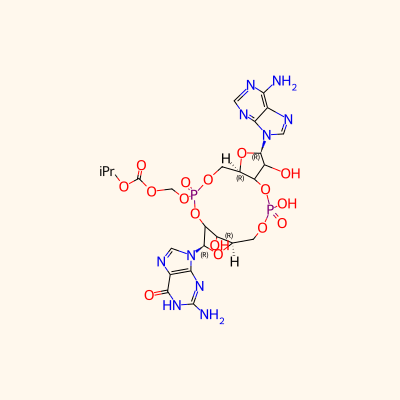 CC(C)OC(=O)OCOP1(=O)OC[C@H]2O[C@@H](n3cnc4c(N)ncnc43)C(O)C2OP(=O)(O)OC[C@H]2O[C@@H](n3cnc4c(=O)[nH]c(N)nc43)C(O1)C2O